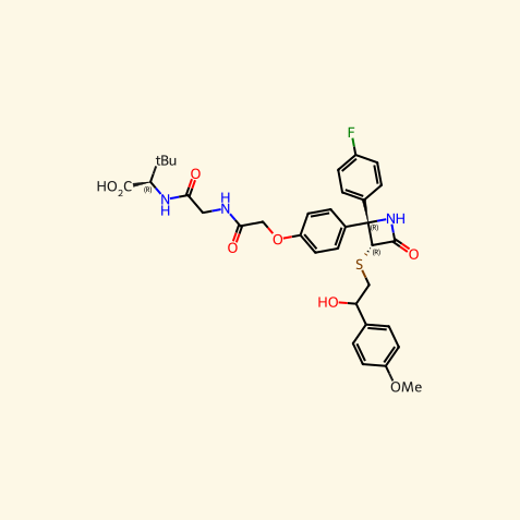 COc1ccc(C(O)CS[C@H]2C(=O)N[C@@]2(c2ccc(F)cc2)c2ccc(OCC(=O)NCC(=O)N[C@@H](C(=O)O)C(C)(C)C)cc2)cc1